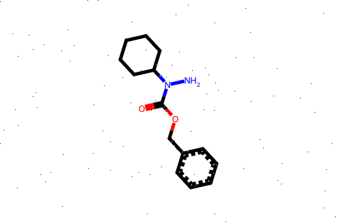 NN(C(=O)OCc1ccccc1)C1CCCCC1